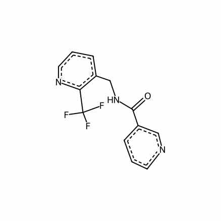 O=C(NCc1cccnc1C(F)(F)F)c1cccnc1